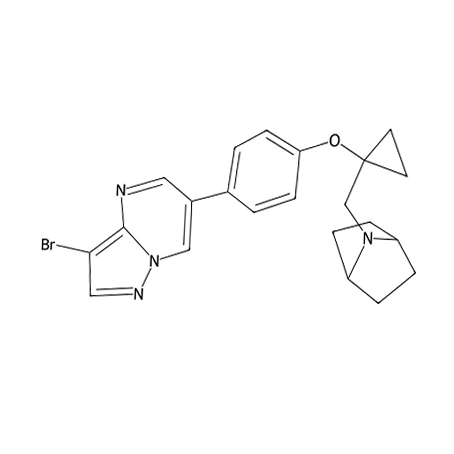 Brc1cnn2cc(-c3ccc(OC4(CN5C6CCC5CC6)CC4)cc3)cnc12